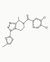 Cc1ccc(-c2nnc3n2CCN(C(=O)c2ccc(Cl)c(Cl)c2)C3C)o1